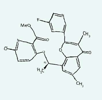 COC(=O)c1nc(Cl)ccc1O[C@H](C)c1cc(C)cc2c(=O)c(C)c(-c3cncc(F)c3)oc12